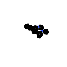 CC1(C)C=CC(N(c2ccccc2)c2cccnc2)=CC(c2ccc3c4c(cccc24)-c2cc4ccccc4cc2-3)=C1